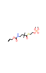 C=CCOC(=O)NCCC(C)(C)C(=O)SCCOP(=O)(OC)OC